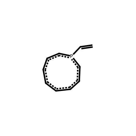 C=Cp1cccccccc1